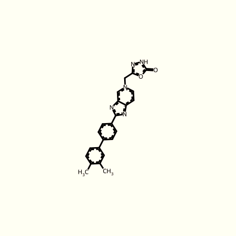 Cc1ccc(-c2ccc(-c3nc4ccn(Cc5n[nH]c(=O)o5)cc-4n3)cc2)cc1C